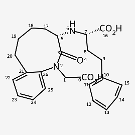 O=C(O)CN1C(=O)[C@@H](N[C@@H](CCc2ccccc2)C(=O)O)CCCCc2ccccc21